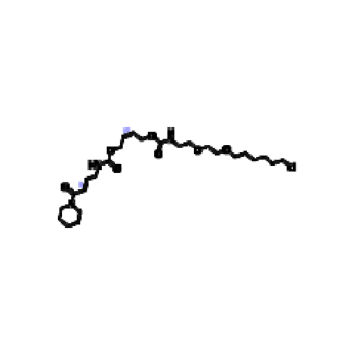 O=C(NC/C=C/C(=O)N1CCCCC1)OC/C=C\COC(=O)NCCOCCOCCCCCCCl